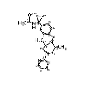 CC(=O)NC1(c2ccc(CN3C(C)CN(c4ncccn4)CC3C)cc2)CC1